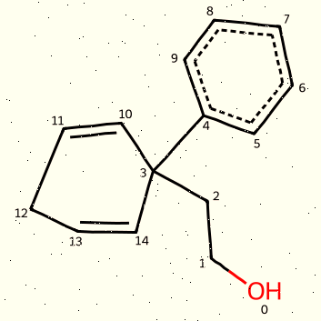 OCCC1(c2ccccc2)C=CCC=C1